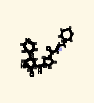 O=C(/C=C/CN1CCCCC1)N1CCC(Nc2cc(-c3ccncc3)c[nH]c2=O)C1